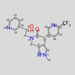 Cn1ccc(CN(CC(O)c2cccnc2)C(=O)Cc2ccc(C(F)(F)F)nc2)n1